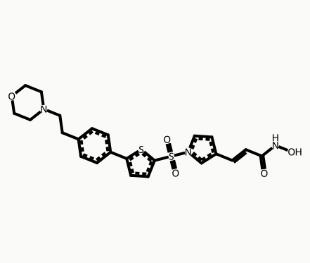 O=C(/C=C/c1ccn(S(=O)(=O)c2ccc(-c3ccc(CCN4CCOCC4)cc3)s2)c1)NO